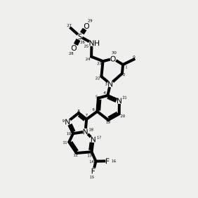 CC1CN(c2cc(-c3cnc4ccc(C(F)F)nn34)ccn2)CC(CNS(C)(=O)=O)O1